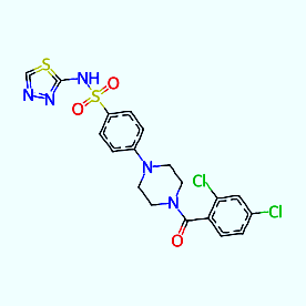 O=C(c1ccc(Cl)cc1Cl)N1CCN(c2ccc(S(=O)(=O)Nc3nncs3)cc2)CC1